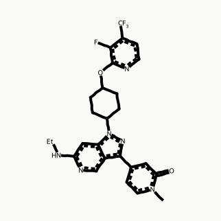 CCNc1cc2c(cn1)c(-c1ccn(C)c(=O)c1)nn2C1CCC(Oc2nccc(C(F)(F)F)c2F)CC1